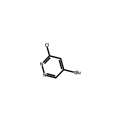 CC(C)(C)c1cnnc(Cl)c1